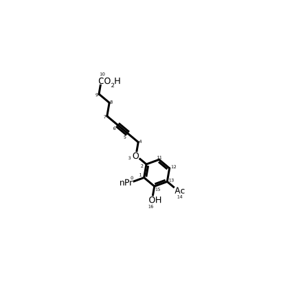 CCCc1c(OCC#CCCCC(=O)O)ccc(C(C)=O)c1O